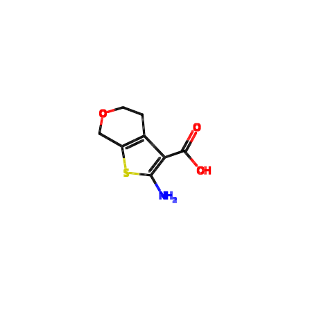 Nc1sc2c(c1C(=O)O)CCOC2